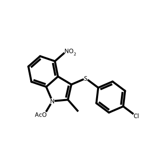 CC(=O)On1c(C)c(Sc2ccc(Cl)cc2)c2c([N+](=O)[O-])cccc21